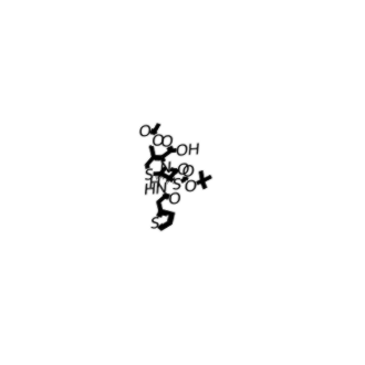 CC(=O)OCC1=C(C(=O)O)N2C(=O)[C@@](NC(=O)Cc3cccs3)(SC(=O)OC(C)(C)C)[C@H]2SC1